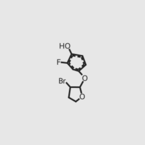 Oc1ccc(OC2OCCC2Br)cc1F